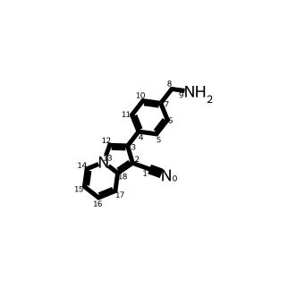 N#Cc1c(-c2ccc(CN)cc2)cn2ccccc12